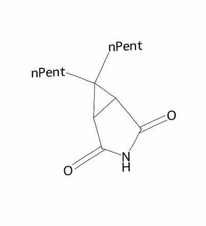 CCCCCC1(CCCCC)C2C(=O)NC(=O)C21